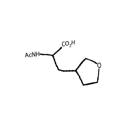 CC(=O)NC(CC1CCOC1)C(=O)O